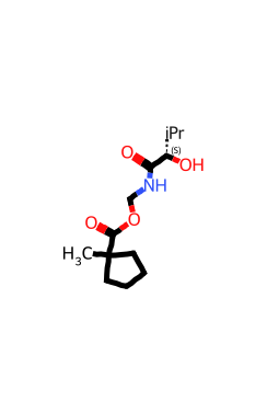 CC(C)[C@H](O)C(=O)NCOC(=O)C1(C)CCCC1